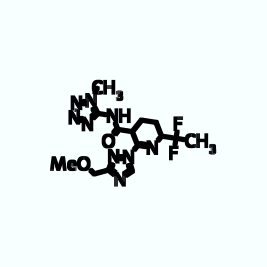 COCc1ncn(C2=NC(C(C)(F)F)CCC2C(=O)Nc2nnnn2C)n1